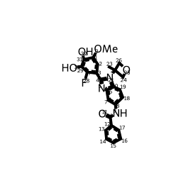 COc1cc(-c2nc3cc(NC(=O)c4ccccc4)ccc3n2C2(C)COC2)c(F)c(O)c1O